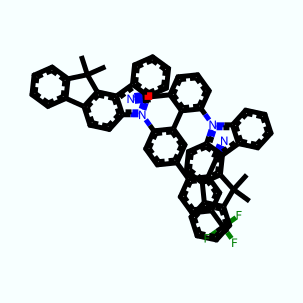 CC1(C)c2ccccc2-c2ccc3c(c21)c1ccccc1n3-c1ccc(-c2ccc(C(F)(F)F)cc2C#N)cc1-c1c(C#N)cccc1-n1c2ccccc2c2c3c(ccc21)-c1ccccc1C3(C)C